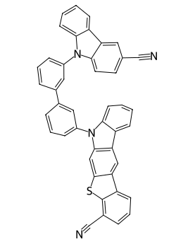 N#Cc1ccc2c(c1)c1ccccc1n2-c1cccc(-c2cccc(-n3c4ccccc4c4cc5c(cc43)sc3c(C#N)cccc35)c2)c1